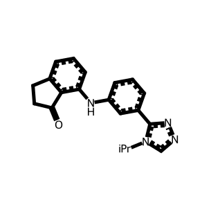 CC(C)n1cnnc1-c1cccc(Nc2cccc3c2C(=O)CC3)c1